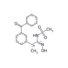 C[C@@H](/C(=N\O)NS(C)(=O)=O)c1cccc(C(=O)c2ccccc2)c1